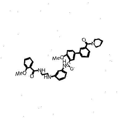 COc1ccccc1C(=O)NCCNc1cccc(N[S+]([O-])c2cc(-c3cccc(C(=O)N4CCCCC4)c3)ccc2OC)c1